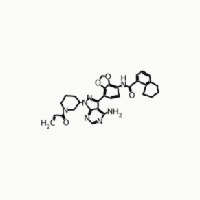 C=CC(=O)N1CCC[C@@H](n2nc(-c3ccc(NC(=O)c4cccc5c4CCCC5)c4c3OCO4)c3c(N)ncnc32)C1